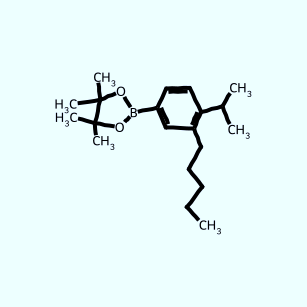 CCCCCc1cc(B2OC(C)(C)C(C)(C)O2)ccc1C(C)C